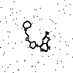 Brc1cc2c(N3CCC(OCCN4CCCCC4)C3)ncnc2s1